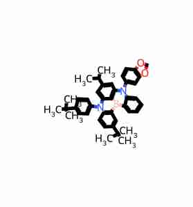 CC(C)c1cc2c3c(c1)N(c1ccc(C(C)(C)C)cc1)c1ccc(C(C)(C)C)cc1B3c1ccccc1N2c1ccc2c(c1)OCO2